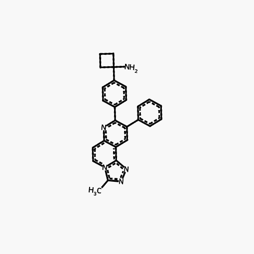 Cc1nnc2c3cc(-c4ccccc4)c(-c4ccc(C5(N)CCC5)cc4)nc3ccn12